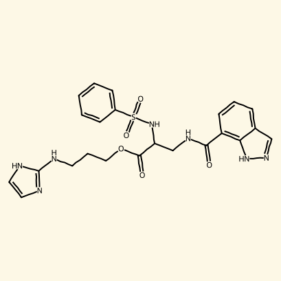 O=C(NCC(NS(=O)(=O)c1ccccc1)C(=O)OCCCNc1ncc[nH]1)c1cccc2cn[nH]c12